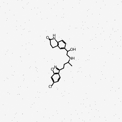 CC(CCc1noc2cc(Cl)ccc12)NCC(O)c1ccc2c(c1)CCC(=O)N2